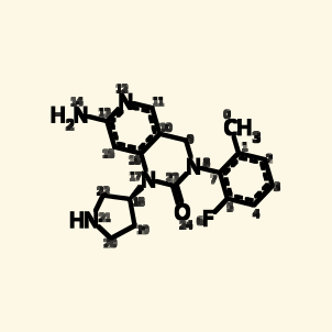 Cc1cccc(F)c1N1Cc2cnc(N)cc2N([C@H]2CCNC2)C1=O